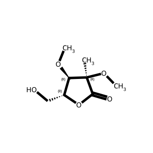 CO[C@@H]1[C@@H](CO)OC(=O)[C@]1(C)OC